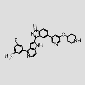 Cc1cc(F)cc(-c2nccc3[nH]c(-c4n[nH]c5ccc(-c6cncc(OC7CCNCC7)c6)cc45)cc23)c1